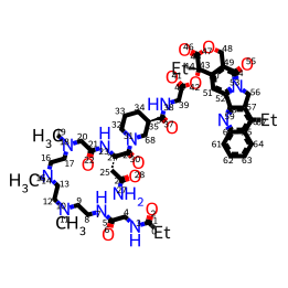 CCC(=O)NCC(=O)NCCN(C)CCN(C)CCN(C)CC(=O)N[C@@H](CC(N)=O)C(=O)N1CCC[C@@H](C(=O)NCC(=O)O[C@]2(CC)C(=O)OCc3c2cc2n(c3=O)Cc3c-2nc2ccccc2c3CC)C1